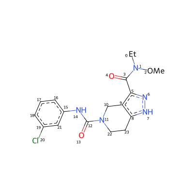 CCN(OC)C(=O)c1n[nH]c2c1CN(C(=O)Nc1cccc(Cl)c1)CC2